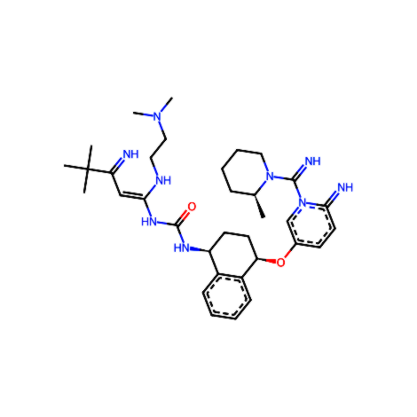 C[C@H]1CCCCN1C(=N)n1cc(O[C@@H]2CC[C@H](NC(=O)N/C(=C/C(=N)C(C)(C)C)NCCN(C)C)c3ccccc32)ccc1=N